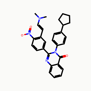 CN(C)/C=C/c1cc(-c2nc3ccccc3c(=O)n2-c2ccc(C3CCCC3)cc2)ccc1[N+](=O)[O-]